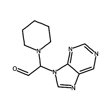 O=CC(N1CCCCC1)n1cnc2cncnc21